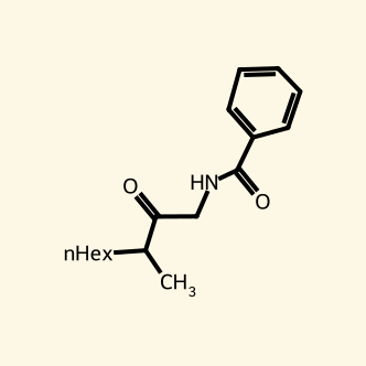 CCCCCCC(C)C(=O)CNC(=O)c1ccccc1